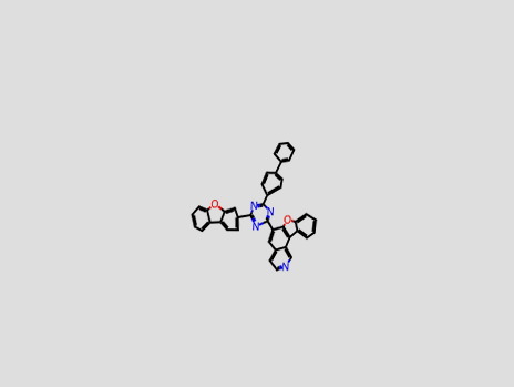 c1ccc(-c2ccc(-c3nc(-c4ccc5c(c4)oc4ccccc45)nc(-c4cc5ccncc5c5c4oc4ccccc45)n3)cc2)cc1